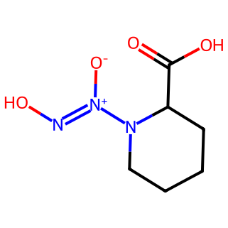 O=C(O)C1CCCCN1[N+]([O-])=NO